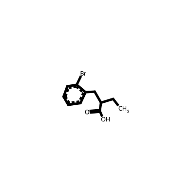 CCC(Cc1ccccc1Br)C(=O)O